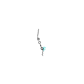 CCCCCCCCCc1ccc([C@H]2CC[C@H](C#Cc3ccc(CCCCC)c(F)c3)CC2)cc1